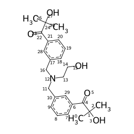 CC(C)(O)C(=O)c1cccc(CN(CCO)Cc2cccc(C(=O)C(C)(C)O)c2)c1